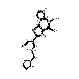 CCCn1c(=O)c2[nH]c(/C(C=N)=C/NCC3CCCO3)nc2n2ccnc12